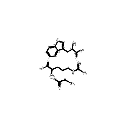 N=C(N)NCCCC(N)C(=O)O.NC(Cc1c[nH]c2ccccc12)C(=O)O.NCC(=O)O